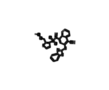 COOCc1sccc1S(=O)(=O)Nc1cc(Sc2nc3ccccc3s2)c(O)c2ccccc12